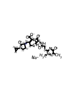 Cc1nn(C)c(SCC(=O)N[C@@H]2C(=O)N3C(C(=O)[O-])=C(/C=C4\CCN(C5CC5)C4=O)CS[C@H]23)nc1=O.[Na+]